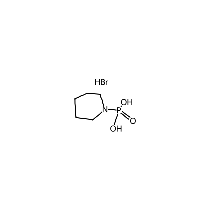 Br.O=P(O)(O)N1CCCCC1